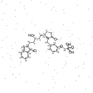 O=C1CC[C@H](CCC(O)CCc2sc3ccccc3c2Cl)N1Cc1cccc(OCP(=O)(O)O)c1